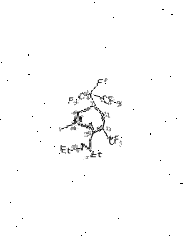 CCN(CC)c1c(C)cc(C(F)(C(F)(F)F)C(F)(F)F)cc1C(F)(F)F